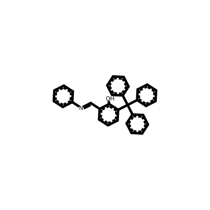 Oc1c(/C=N/c2ccccc2)cccc1C(c1ccccc1)(c1ccccc1)c1ccccc1